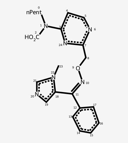 CCCCCN(C(=O)O)c1ccnc(CO/N=C(/c2ccccc2)c2cncn2C)n1